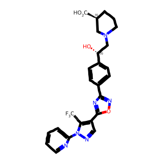 O=C(O)[C@H]1CCCN(C[C@@H](O)c2ccc(-c3noc(-c4cnn(-c5ccccn5)c4C(F)(F)F)n3)cc2)C1